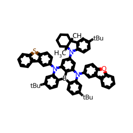 CC(C)(C)c1ccc2c(c1)N(c1ccc3oc4ccccc4c3c1)c1cc(N3c4ccc(C(C)(C)C)cc4C4(C)CCCCC34C)cc3c1B2c1ccc(C(C)(C)C)cc1N3c1ccc2sc3ccccc3c2c1